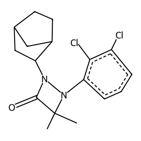 CC1(C)C(=O)N(C2CC3CCC2C3)N1c1cccc(Cl)c1Cl